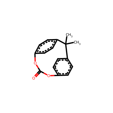 CC1(C)c2ccc(cc2)OC(=O)Oc2ccc1cc2